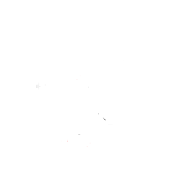 CC(C)CC[C@@]12CCC3(C[C@H]1CC/C(=C\c1ccccc1F)C2=O)OCCO3